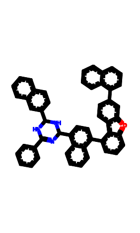 c1ccc(C2=NC(c3ccc(-c4cccc5oc6cc(-c7cccc8ccccc78)ccc6c45)c4ccccc34)NC(c3ccc4ccccc4c3)N2)cc1